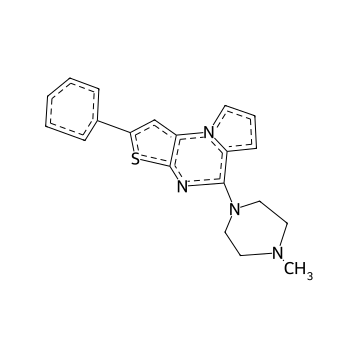 CN1CCN(c2nc3sc(-c4ccccc4)cc3n3cccc23)CC1